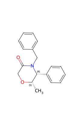 C[C@@H]1OCC(=O)N(Cc2ccccc2)[C@@H]1c1ccccc1